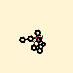 c1ccc(-c2ccc(-c3nc(-c4cccc5c4C4(c6ccccc6Sc6ccccc64)c4ccccc4-5)nc4ccccc34)cc2)cc1